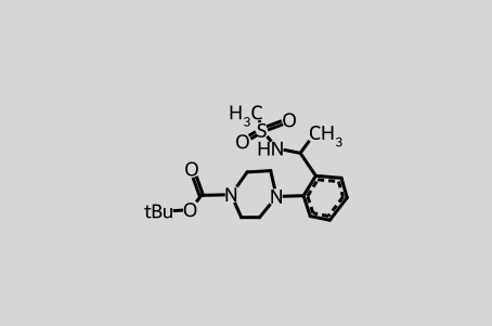 CC(NS(C)(=O)=O)c1ccccc1N1CCN(C(=O)OC(C)(C)C)CC1